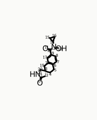 O=C1C[C@]2(CCc3ccc(C(=O)N(O)C4CC4)cc3C2)CN1